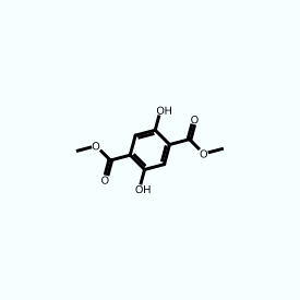 COC(=O)c1cc(O)c(C(=O)OC)cc1O